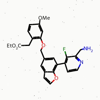 CCOC(=O)Cc1ccc(OC)cc1OCc1cc(-c2ccnc(CN)c2F)c2occc2c1